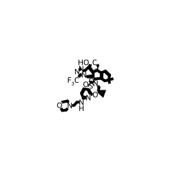 Cc1c([C@@H](CC(=O)O)C2=C(CN3CC4(CC4)Oc4nc(NCCN5CCOCC5)ccc4S3(=O)=O)CC(C)(C)C=C2)ccn2c(C(F)(F)F)nnc12